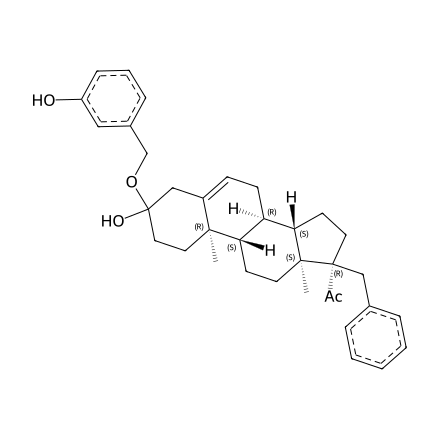 CC(=O)[C@@]1(Cc2ccccc2)CC[C@H]2[C@@H]3CC=C4CC(O)(OCc5cccc(O)c5)CC[C@]4(C)[C@H]3CC[C@@]21C